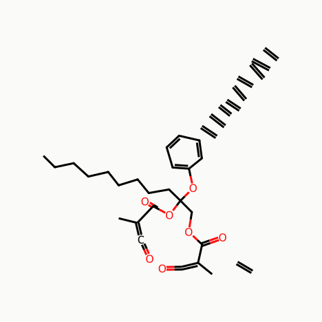 C=C.C=C.C=C.C=C.C=C.C=C.C=C.C=C.C=C.C=C.CCCCCCCCCC(COC(=O)C(C)=C=O)(OC(=O)C(C)=C=O)Oc1ccccc1